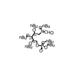 CCCCO[C@@H]([C@H](CN(C=O)OCCCC)OCCCC)[C@@H](COP(=O)(OCCCC)OCCCC)OCCCC